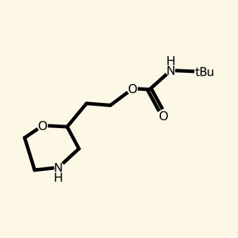 CC(C)(C)NC(=O)OCCC1CNCCO1